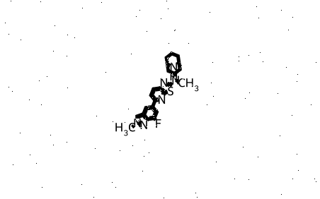 CN(c1nc2ccc(-c3cc(F)c4nn(C)cc4c3)nc2s1)C1CC2CCCC(C1)N2